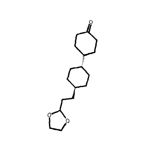 O=C1CCC([C@H]2CC[C@H](CCC3OCCO3)CC2)CC1